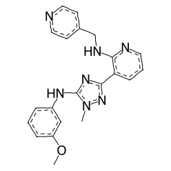 COc1cccc(Nc2nc(-c3cccnc3NCc3ccncc3)nn2C)c1